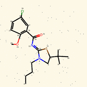 CCCCN1CC(C(C)(C)C)S/C1=N\C(=O)c1cc(Cl)ccc1OC